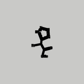 CCC(C(=O)OC)c1nnn[nH]1